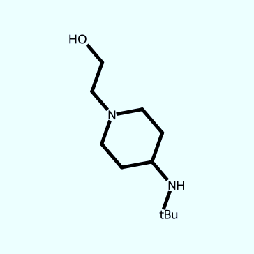 CC(C)(C)NC1CCN(CCO)CC1